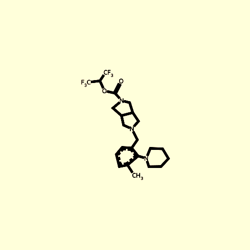 Cc1cccc(CN2CC3CN(C(=O)OC(C(F)(F)F)C(F)(F)F)CC3C2)c1N1CCCCC1